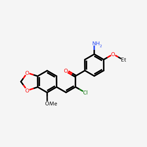 CCOc1ccc(C(=O)/C(Cl)=C\c2ccc3c(c2OC)OCO3)cc1N